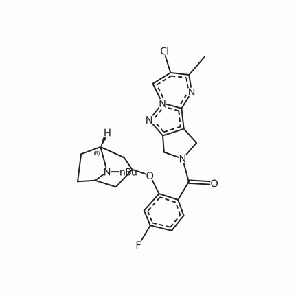 CCCCN1C2CC[C@@H]1CC(Oc1cc(F)ccc1C(=O)N1Cc3nn4cc(Cl)c(C)nc4c3C1)C2